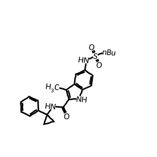 CCCCS(=O)(=O)Nc1ccc2[nH]c(C(=O)NC3(c4ccccc4)CC3)c(C)c2c1